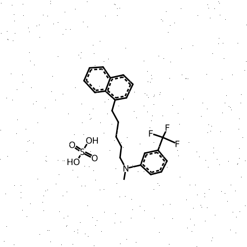 CN(CCCCCc1cccc2ccccc12)c1cccc(C(F)(F)F)c1.O=S(=O)(O)O